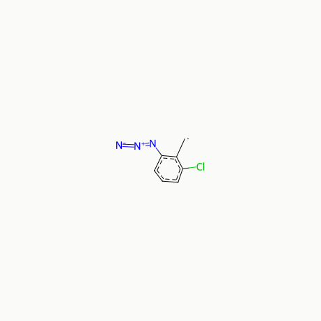 [CH2]c1c(Cl)cccc1N=[N+]=[N-]